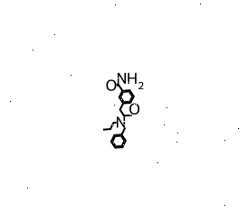 CCCN(Cc1ccccc1)[C@@H]1COc2ccc(C(N)=O)cc2C1